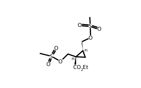 CCOC(=O)[C@]1(COS(C)(=O)=O)C[C@H]1COS(C)(=O)=O